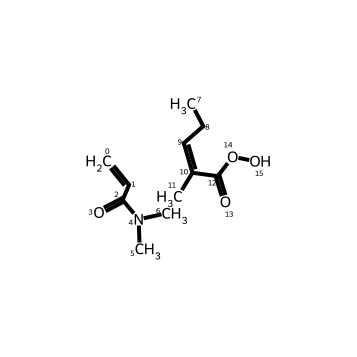 C=CC(=O)N(C)C.CCC=C(C)C(=O)OO